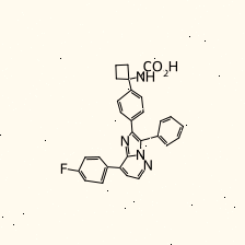 O=C(O)NC1(c2ccc(-c3nc4c(-c5ccc(F)cc5)ccnn4c3-c3ccccc3)cc2)CCC1